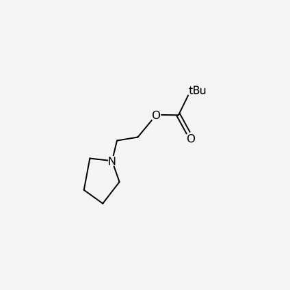 CC(C)(C)C(=O)OCCN1CCCC1